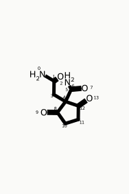 NC(=O)CC1(C(N)=O)C(=O)CCC1=O